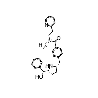 CN(CCc1ccccn1)C(=O)c1ccc(C[C@@H]2CC[C@H]([C@H](O)c3ccccc3)N2)cc1